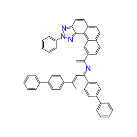 C=C(/N=C(\C=C(/C)c1ccc(-c2ccccc2)cc1)c1ccc(-c2ccccc2)cc1)c1ccc2ccc3ccc4nn(-c5ccccc5)nc4c3c2c1